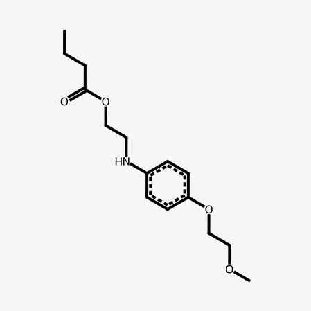 CCCC(=O)OCCNc1ccc(OCCOC)cc1